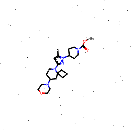 Cc1cc(N2CCC(N3CCOCC3)CC23CCC3)nn1C1CCN(C(=O)OC(C)(C)C)CC1